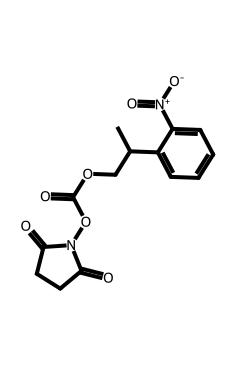 CC(COC(=O)ON1C(=O)CCC1=O)c1ccccc1[N+](=O)[O-]